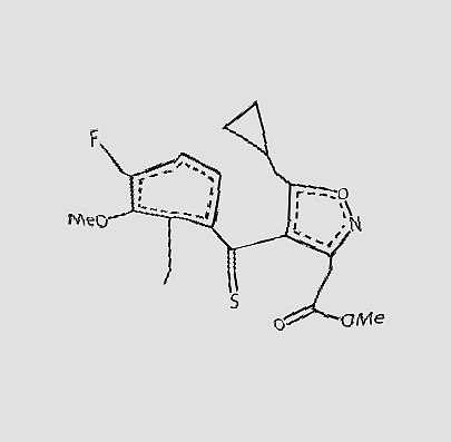 COC(=O)c1noc(C2CC2)c1C(=S)c1ccc(F)c(OC)c1C